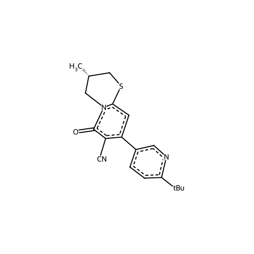 C[C@@H]1CSc2cc(-c3ccc(C(C)(C)C)nc3)c(C#N)c(=O)n2C1